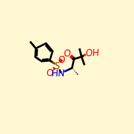 Cc1ccc(S(=O)(=O)N[C@@H](C)C(=O)C(C)(C)O)cc1